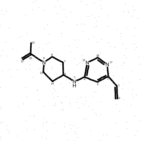 C=Cc1cc(NC2CCN(C(=C)C)CC2)ncn1